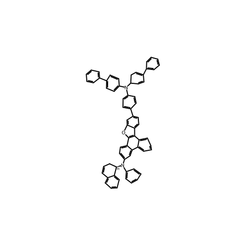 C1=Cc2ccccc2[C@H](N(c2ccccc2)c2ccc3c(c2)c2ccccc2c2c4ccc(-c5ccc(N(c6ccc(-c7ccccc7)cc6)C6C=CC(c7ccccc7)=CC6)cc5)cc4oc32)C1